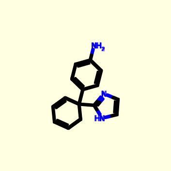 Nc1ccc(C2(c3ncc[nH]3)C=CC=CC2)cc1